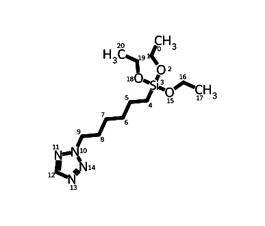 CCO[Si](CCCCCCn1ncnn1)(OCC)OCC